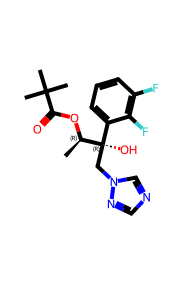 C[C@@H](OC(=O)C(C)(C)C)[C@](O)(Cn1cncn1)c1cccc(F)c1F